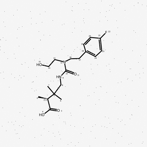 C[C@H](C(=O)O)C(C)(C)CNC(=O)N(CCO)CCc1ccc(F)cc1